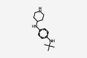 CC(C)(C)Nc1ccc(NC2CCNCC2)cc1